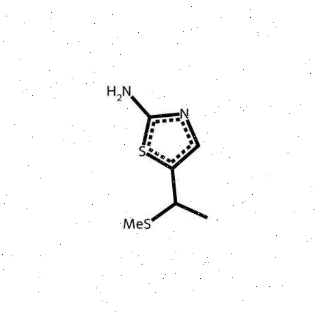 CSC(C)c1cnc(N)s1